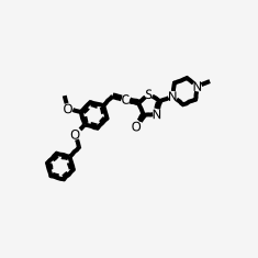 COc1cc(C=C=C2SC(N3CCN(C)CC3)=NC2=O)ccc1OCc1ccccc1